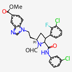 COC(=O)c1ccc2c(c1)ncn2CC[C@H]1CC(c2cccc(Cl)c2F)C(C(=O)Nc2cccc(Cl)c2)N1C=O